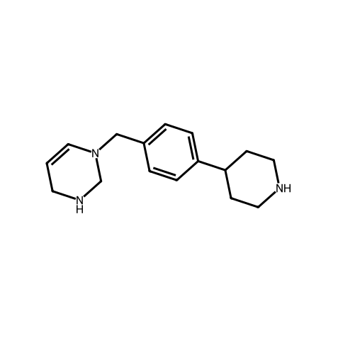 C1=CN(Cc2ccc(C3CCNCC3)cc2)CNC1